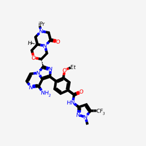 CCOc1cc(C(=O)Nc2cc(C(F)(F)F)n(C)n2)ccc1-c1nc([C@H]2CN3C(=O)CN(C(C)C)C[C@@H]3CO2)n2ccnc(N)c12